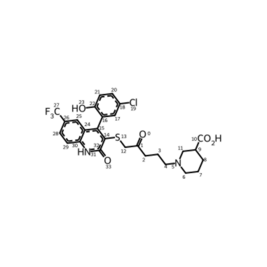 O=C(CCCN1CCCC(C(=O)O)C1)CSc1c(-c2cc(Cl)ccc2O)c2cc(C(F)(F)F)ccc2[nH]c1=O